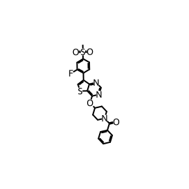 CS(=O)(=O)c1ccc(-c2csc3c(OC4CCN(C(=O)c5ccccc5)CC4)ncnc23)c(F)c1